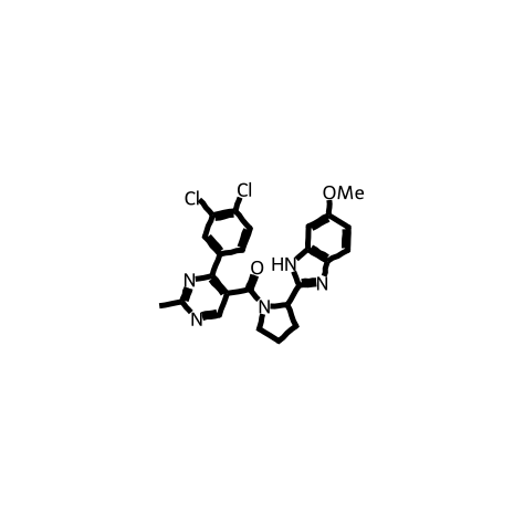 COc1ccc2nc(C3CCCN3C(=O)c3cnc(C)nc3-c3ccc(Cl)c(Cl)c3)[nH]c2c1